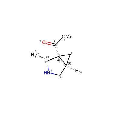 COC(=O)[C@]12C[C@H]1CN[C@@H]2C